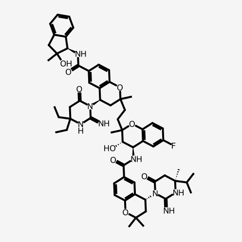 CCC1(CC)CC(=O)N([C@@H]2CC(C)(CCC3(C)Oc4ccc(F)cc4[C@@H](NC(=O)c4ccc5c(c4)[C@H](N4C(=N)N[C@](C)(C(C)C)CC4=O)CC(C)(C)O5)[C@@H]3O)Oc3ccc(C(=O)N[C@@H]4c5ccccc5CC4(C)O)cc32)C(=N)N1